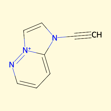 C#Cn1cc[n+]2ncccc12